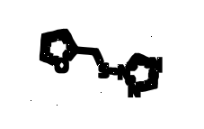 c1coc(CSn2cncn2)c1